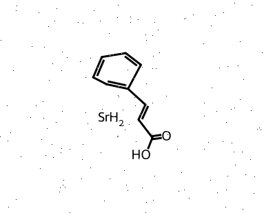 O=C(O)C=Cc1ccccc1.[SrH2]